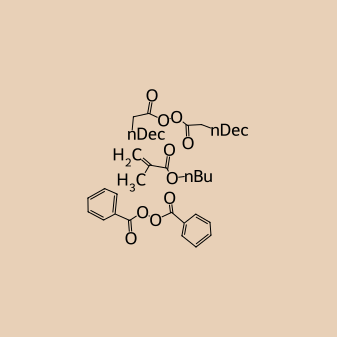 C=C(C)C(=O)OCCCC.CCCCCCCCCCCC(=O)OOC(=O)CCCCCCCCCCC.O=C(OOC(=O)c1ccccc1)c1ccccc1